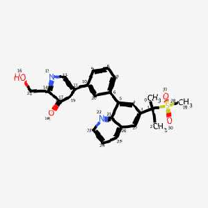 CC(C)(c1cc(-c2cccc(C3=CN=C(CO)C(=O)C3)c2)c2ncccc2c1)S(C)(=O)=O